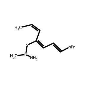 C\C=C/C(=C\C=C\CCC)SN(C)N